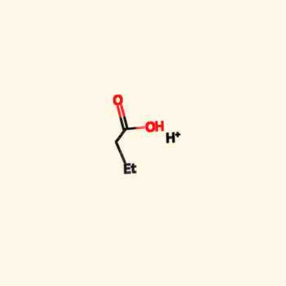 CCCC(=O)O.[H+]